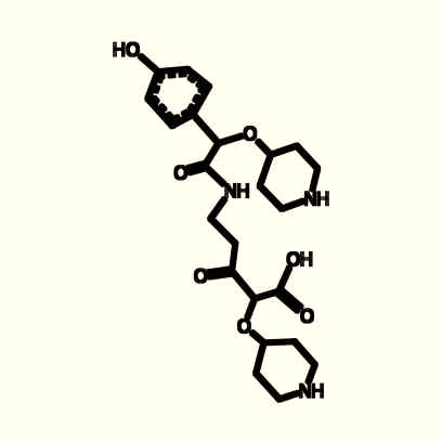 O=C(O)C(OC1CCNCC1)C(=O)CCNC(=O)C(OC1CCNCC1)c1ccc(O)cc1